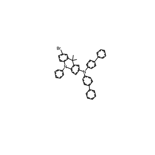 CC1(C)c2cc(Br)ccc2N(c2ccccc2)c2ccc(N(c3ccc(-c4ccccc4)cc3)c3ccc(-c4ccccc4)cc3)cc21